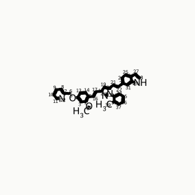 COc1cc(OCc2ccccn2)ccc1/C=C/c1cc(/C=C/c2ccc3cc[nH]c3c2)n(-c2ccccc2C)n1